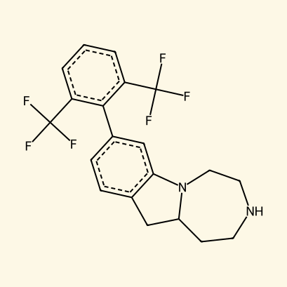 FC(F)(F)c1cccc(C(F)(F)F)c1-c1ccc2c(c1)N1CCNCCC1C2